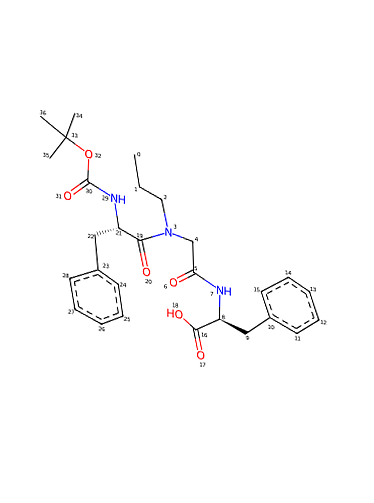 CCCN(CC(=O)N[C@@H](Cc1ccccc1)C(=O)O)C(=O)[C@H](Cc1ccccc1)NC(=O)OC(C)(C)C